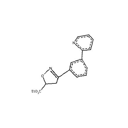 CCOC(=O)C1CC(c2cccc(-c3ccccn3)c2)=NO1